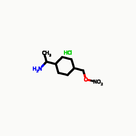 CC(N)C1CCC(CO[N+](=O)[O-])CC1.Cl